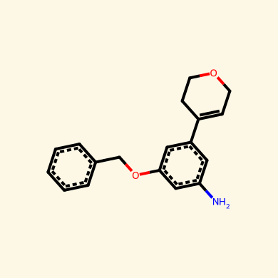 Nc1cc(OCc2ccccc2)cc(C2=CCOCC2)c1